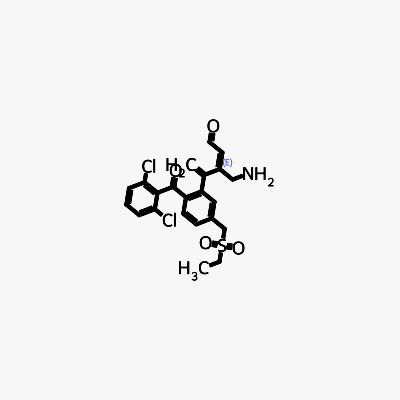 C=C(/C(=C\C=O)CN)c1cc(CS(=O)(=O)CC)ccc1C(=O)c1c(Cl)cccc1Cl